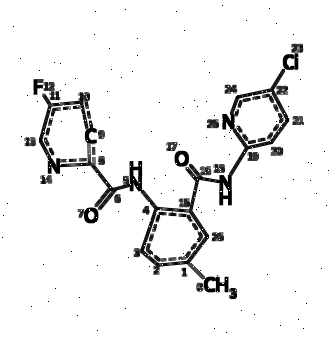 Cc1ccc(NC(=O)c2ccc(F)cn2)c(C(=O)Nc2ccc(Cl)cn2)c1